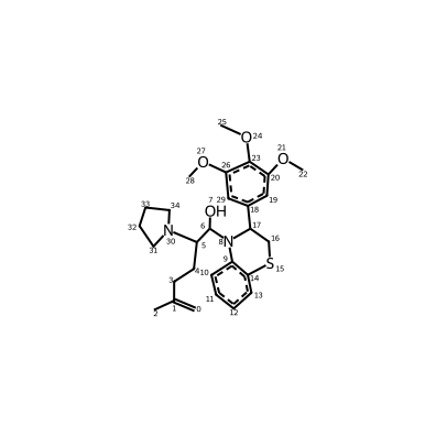 C=C(C)CCC(C(O)N1c2ccccc2SCC1c1cc(OC)c(OC)c(OC)c1)N1CCCC1